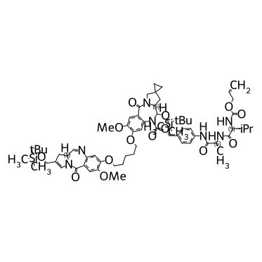 C=CCOC(=O)N[C@H](C(=O)N[C@@H](C)C(=O)Nc1ccc(COC(=O)N2c3cc(OCCCCCOc4cc5c(cc4OC)C(=O)N4C=C(CO[Si](C)(C)C(C)(C)C)C[C@H]4C=N5)c(OC)cc3C(=O)N3CC4(CC4)C[C@H]3C2O[Si](C)(C)C(C)(C)C)cc1)C(C)C